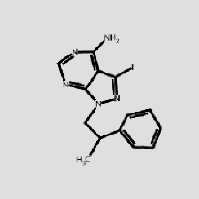 CC(Cn1nc(I)c2c(N)ncnc21)c1ccccc1